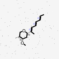 C/C=C/C=C/C=C(\C)[C@@H]1[CH][C@H](OC)[C@H](C)CO1